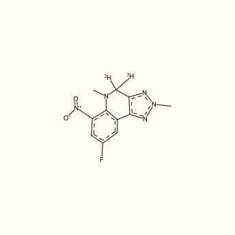 [2H]C1([2H])c2nn(C)nc2-c2cc(F)cc([N+](=O)[O-])c2N1C